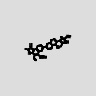 C=Cc1c(SC)c2cc(-c3ccc4c5c(ccc4c3)-c3nc(C(C)C)[nH]c3CO5)ccc2c2[nH]c(C)nc12